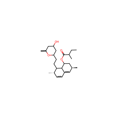 C=C1CC(O)CC(CCC2C3C(=C[C@H](C)CC3OC(=O)C(C)CC)C=C[C@@H]2C)O1